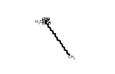 C=CCCCCCCCCCCCCCCCCCCCC(CC)(P(=O)=O)[N+](C)(C)C